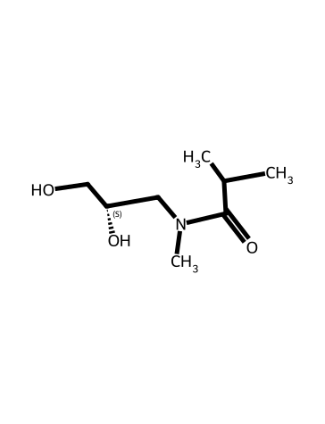 CC(C)C(=O)N(C)C[C@H](O)CO